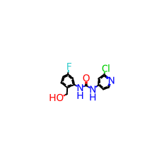 O=C(Nc1ccnc(Cl)c1)Nc1cc(F)ccc1CO